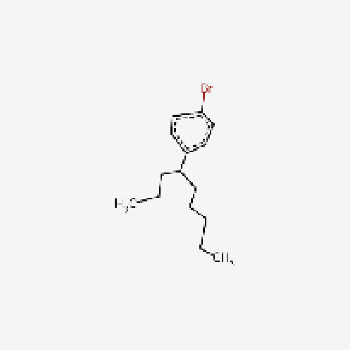 CCCCCC(CCC)c1ccc(Br)cc1